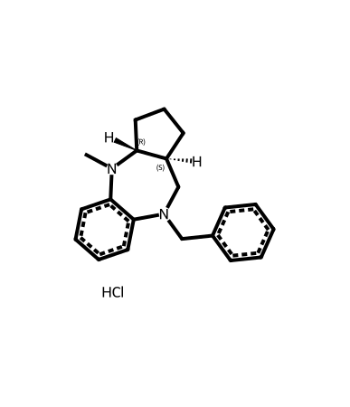 CN1c2ccccc2N(Cc2ccccc2)C[C@@H]2CCC[C@H]21.Cl